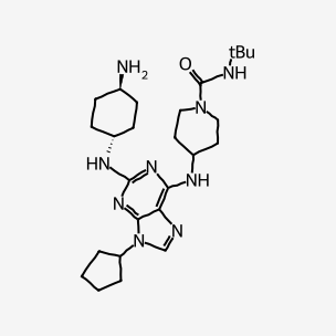 CC(C)(C)NC(=O)N1CCC(Nc2nc(N[C@H]3CC[C@H](N)CC3)nc3c2ncn3C2CCCC2)CC1